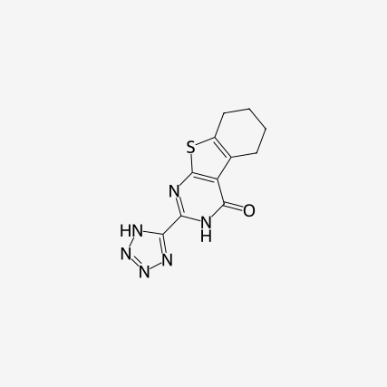 O=c1[nH]c(-c2nnn[nH]2)nc2sc3c(c12)CCCC3